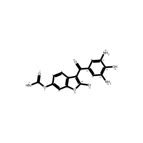 CCCCC(=O)Oc1ccc2c(C(=O)c3cc(N)c(O)c(N)c3)c(CC)oc2c1